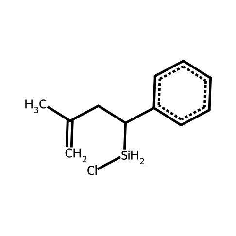 C=C(C)CC([SiH2]Cl)c1ccccc1